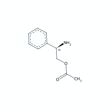 CC(=O)OC[C@H](N)c1ccccc1